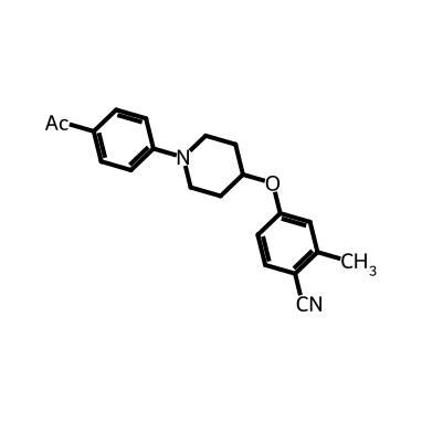 CC(=O)c1ccc(N2CCC(Oc3ccc(C#N)c(C)c3)CC2)cc1